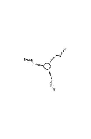 [N-]=[N+]=NCC#Cc1cc(C#CCN=[N+]=[N-])cc(C#CCN=[N+]=[N-])c1